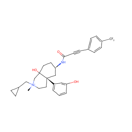 C[N@+]1(CC2CC2)CC[C@@]2(c3cccc(O)c3)C[C@H](NC(=O)C#Cc3ccc(C(F)(F)F)cc3)CCC2(O)C1